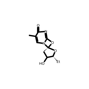 CC[C@H]1O[C@]2(CC1O)Oc1nc(=O)c(C)cn12